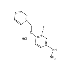 Cl.NNc1ccc(OCc2ccccc2)c(F)c1